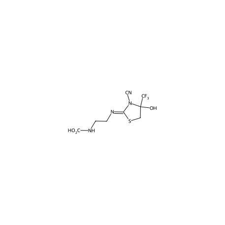 N#CN1/C(=N/CCNC(=O)O)SCC1(O)C(F)(F)F